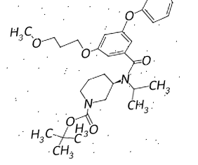 COCCCOc1cc(Oc2ccccc2)cc(C(=O)N(C(C)C)[C@@H]2CCCN(C(=O)OC(C)(C)C)C2)c1